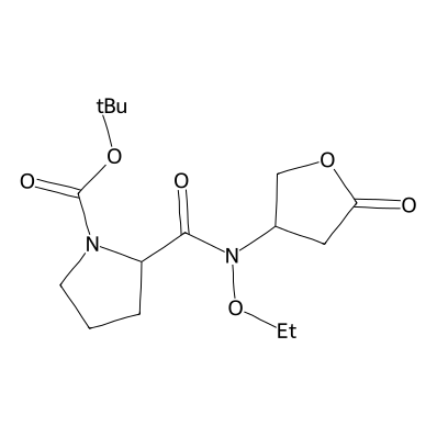 CCON(C(=O)C1CCCN1C(=O)OC(C)(C)C)C1COC(=O)C1